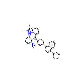 Cc1c(C)n2c3c(cccc13)B1c3ccc(-c4ccc(C5=CCCC=C5)c5ccccc45)cc3N(C)c3cccc-2c31